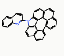 c1ccc2nc(-n3c4ccc5cccc6c5c4c4c5c(ccc7cccc-6c75)ccc43)ccc2c1